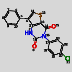 O=c1[nH]c2c(-c3ccccc3)csc2c(=O)n1-c1ccc(Cl)cc1